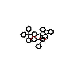 c1ccc(-c2cccc(N(c3ccc4c(c3)-c3ccccc3C4(c3ccccc3)c3ccccc3)c3cccc4c3C3(c5ccccc5-4)C4CC5CC(C4)CC3C5)c2-c2ccccc2)cc1